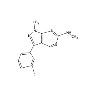 CNc1ncc2c(-c3cccc(F)c3)nn(C)c2n1